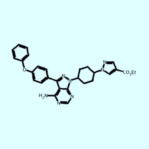 CCOC(=O)c1cnn(C2CCC(n3nc(-c4ccc(Oc5ccccc5)cc4)c4c(N)ncnc43)CC2)c1